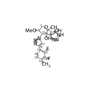 COC1COC(C)(CO)C(O)(c2c[nH]nn2)C1n1cc(-c2ccc(C)c(F)c2F)nn1